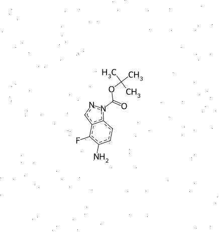 CC(C)(C)OC(=O)n1ncc2c(F)c(N)ccc21